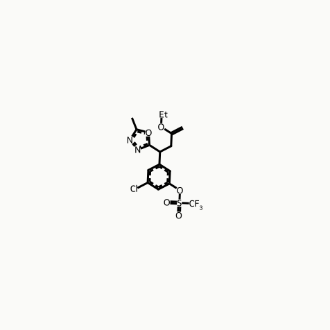 C=C(CC(c1cc(Cl)cc(OS(=O)(=O)C(F)(F)F)c1)c1nnc(C)o1)OCC